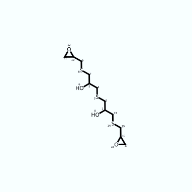 OC(CSCC(O)CSCC1CO1)CSCC1CO1